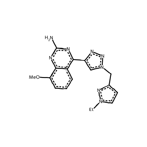 CCn1ccc(Cn2cc(-c3nc(N)nc4c(OC)cccc34)nn2)n1